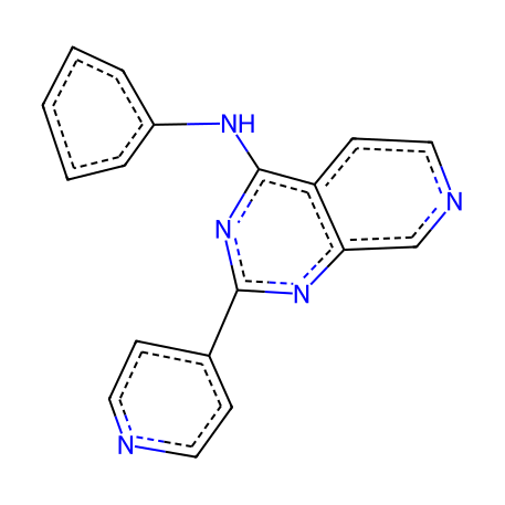 c1ccc(Nc2nc(-c3ccncc3)nc3cnccc23)cc1